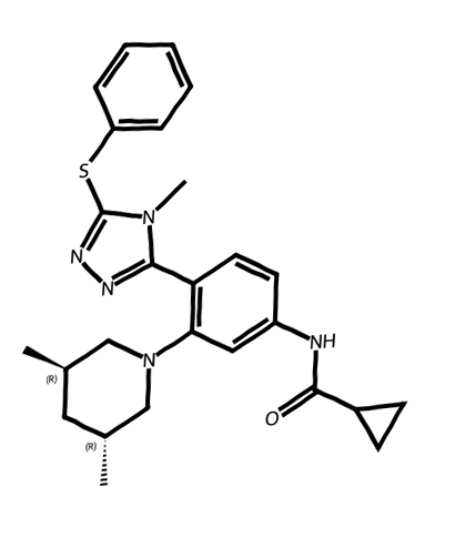 C[C@@H]1C[C@@H](C)CN(c2cc(NC(=O)C3CC3)ccc2-c2nnc(Sc3ccccc3)n2C)C1